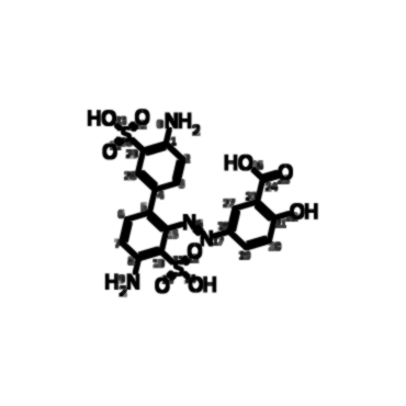 Nc1ccc(-c2ccc(N)c(S(=O)(=O)O)c2N=Nc2ccc(O)c(C(=O)O)c2)cc1S(=O)(=O)O